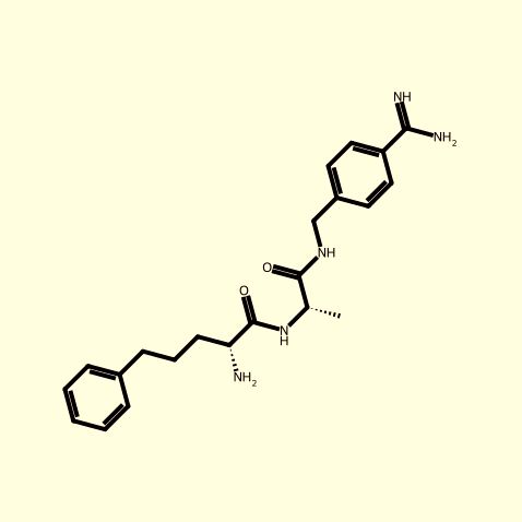 C[C@H](NC(=O)[C@H](N)CCCc1ccccc1)C(=O)NCc1ccc(C(=N)N)cc1